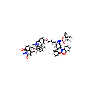 CC(C)(C)OC(=O)Nc1cc(N(C(=O)O)C2CCCCC2)c(-c2ccccc2)cc1/C=C/CCOc1ccc(CNC[C@H](O[Si](C)(C)C(C)(C)C)c2ccc(O)c3[nH]c(=O)ccc23)cc1